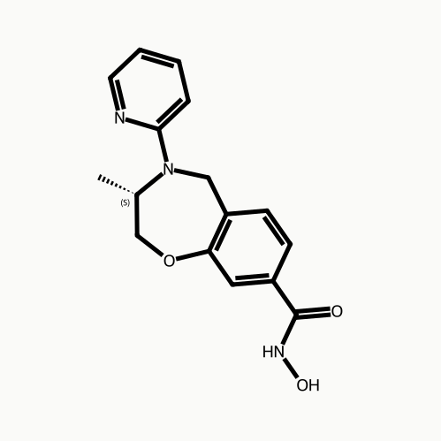 C[C@H]1COc2cc(C(=O)NO)ccc2CN1c1ccccn1